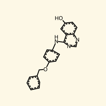 Oc1ccc2ncnc(Nc3ccc(OCc4ccccc4)cc3)c2c1